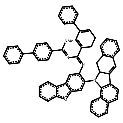 CN/C(=N\C(=N/c1cc2c(cc1N1c3c(ccc4ccccc34)C3=Cc4ccccc4CC31)oc1ccccc12)C1=CC(c2ccccc2)=CCC1)c1ccc(-c2ccccc2)cc1